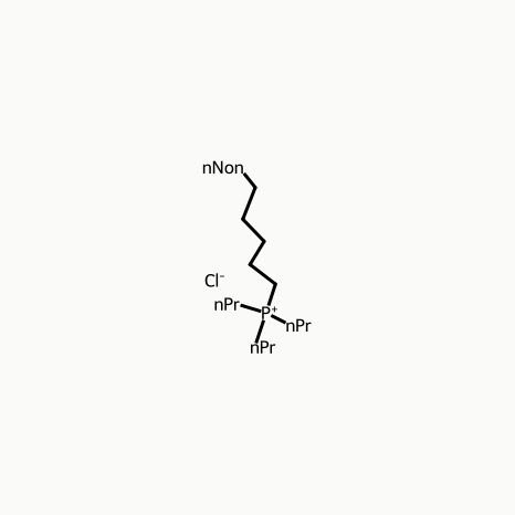 CCCCCCCCCCCCCC[P+](CCC)(CCC)CCC.[Cl-]